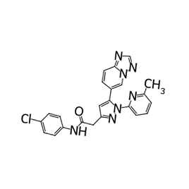 Cc1cccc(-n2nc(CC(=O)Nc3ccc(Cl)cc3)cc2-c2ccc3ncnn3c2)n1